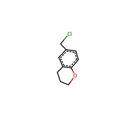 ClCc1ccc2c(c1)CCCO2